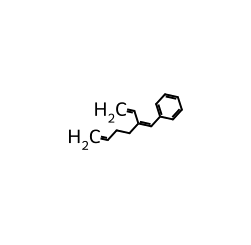 C=CCCC(C=C)=Cc1ccccc1